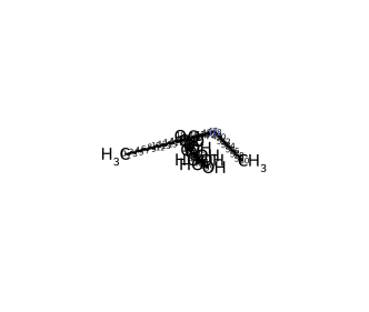 CCCCCCCCCCCCC=CCCCCC(=O)OC[C@H](COP(=O)(O)OC[C@@H](O)[C@@H](O)[C@H](O)[C@H](O)CO)OC(=O)CCCC/C=C\CCCCCCCCCCCC